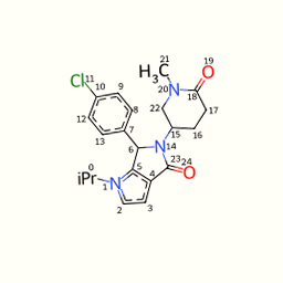 CC(C)n1ccc2c1C(c1ccc(Cl)cc1)N(C1CCC(=O)N(C)C1)C2=O